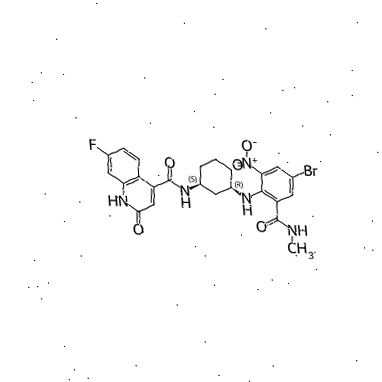 CNC(=O)c1cc(Br)cc([N+](=O)[O-])c1N[C@@H]1CCC[C@H](NC(=O)c2cc(=O)[nH]c3cc(F)ccc23)C1